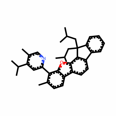 Cc1cnc(-c2c(C)ccc3c2oc2c4c(ccc23)-c2ccccc2C4(CC(C)C)CC(C)C)cc1C(C)C